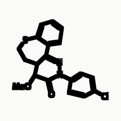 COC1C(=O)N(c2ccc(Cl)cc2)N=C2c3ccccc3SCCC21